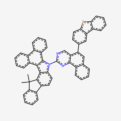 CC1(C)c2ccccc2-c2ccc3c(c21)c1c2ccccc2c2ccccc2c1n3-c1ncc2c(-c3ccc4sc5ccccc5c4c3)cc3ccccc3c2n1